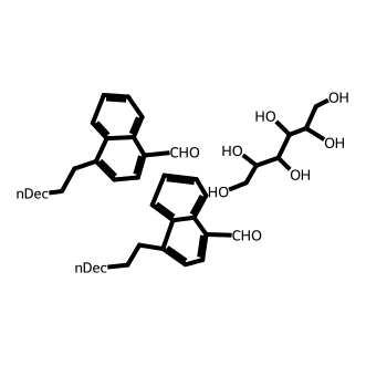 CCCCCCCCCCCCc1ccc(C=O)c2ccccc12.CCCCCCCCCCCCc1ccc(C=O)c2ccccc12.OCC(O)C(O)C(O)C(O)CO